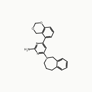 Nc1nc(-c2cccc3c2COCO3)cc(N2CCCc3ccccc3C2)n1